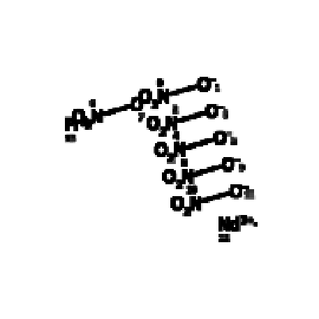 O=[N+]([O-])[O-].O=[N+]([O-])[O-].O=[N+]([O-])[O-].O=[N+]([O-])[O-].O=[N+]([O-])[O-].O=[N+]([O-])[O-].[Nd+3].[Pr+3]